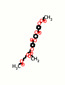 C=CC(=O)OCCCCOCC(COc1ccc(C(=O)OC2CCC(OC(=O)c3ccc(OCOC(=O)C=C)cc3)CC2)cc1)OC(=O)C=C